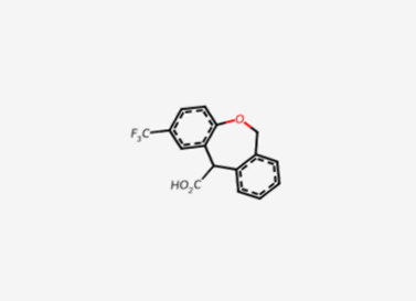 O=C(O)C1c2ccccc2COc2ccc(C(F)(F)F)cc21